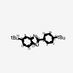 CC(C)(C)c1ccc(-c2nc3cc(C(C)(C)C)ccc3o2)cc1